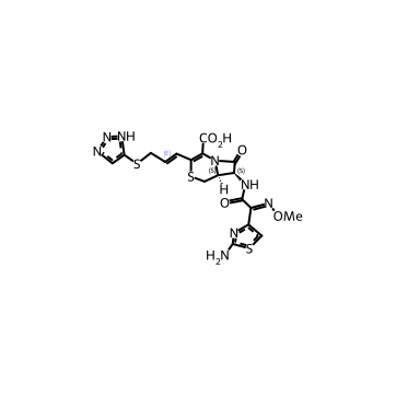 CON=C(C(=O)N[C@@H]1C(=O)N2C(C(=O)O)=C(/C=C/CSc3cnn[nH]3)SC[C@H]12)c1csc(N)n1